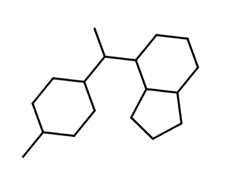 CC1CCC(C(C)C2CCCC3CCCC32)CC1